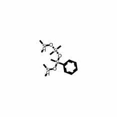 C[SiH](C)O[Si](C)(C)O[Si](C)(O[SiH](C)C)c1ccccc1